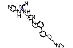 N#C/N=C(\NCc1cnc(N2CCc3c(-c4cccc(OCCCN5CCCC5)c4)cccc32)s1)Nc1ccncc1